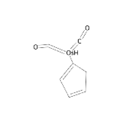 O=[C]=[OsH](=[C]=O)[C]1=CC=CC1